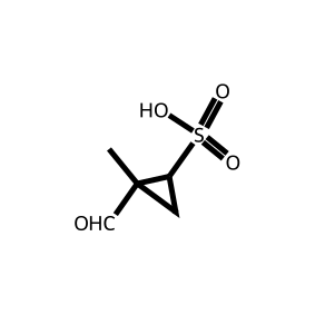 CC1(C=O)CC1S(=O)(=O)O